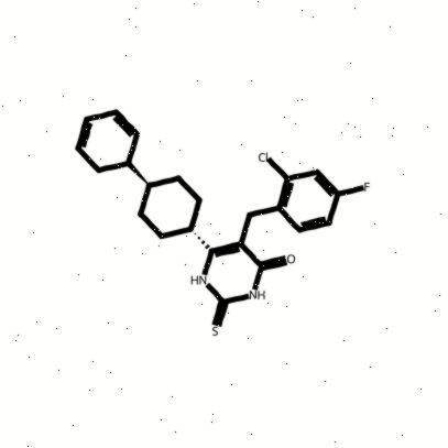 O=c1[nH]c(=S)[nH]c([C@H]2CC[C@H](C3C=CC=CC3)CC2)c1Cc1ccc(F)cc1Cl